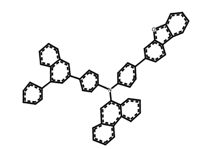 c1ccc(-c2cc(-c3ccc(N(c4ccc(-c5ccc6c(c5)oc5ccccc56)cc4)c4cc5ccccc5c5ccccc45)cc3)cc3ccccc23)cc1